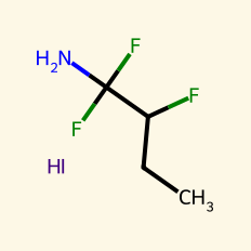 CCC(F)C(N)(F)F.I